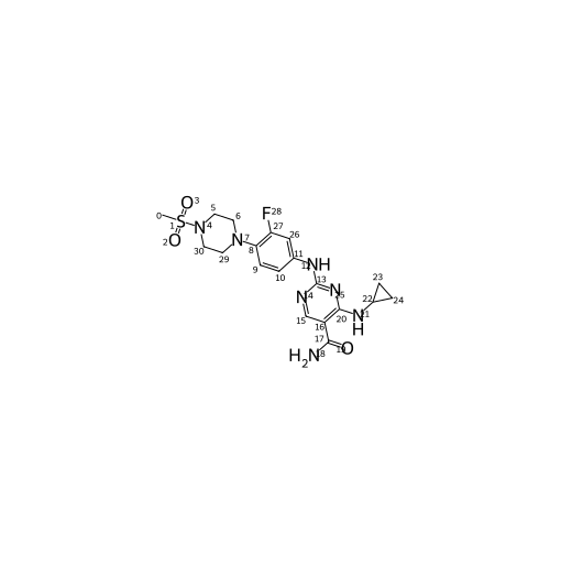 CS(=O)(=O)N1CCN(c2ccc(Nc3ncc(C(N)=O)c(NC4CC4)n3)cc2F)CC1